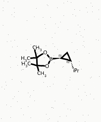 CC(C)[C@H]1C[C@@H]1B1OC(C)(C)C(C)(C)O1